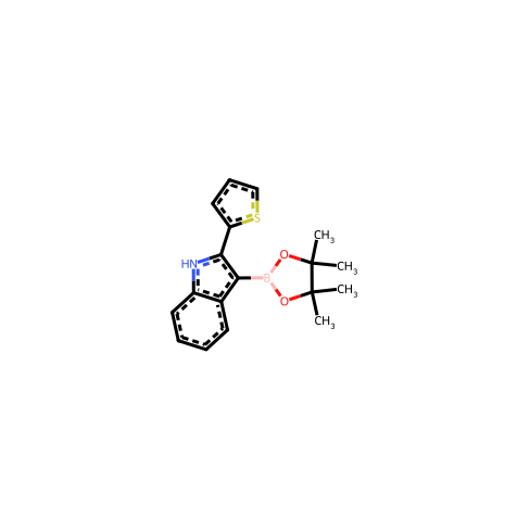 CC1(C)OB(c2c(-c3cccs3)[nH]c3ccccc23)OC1(C)C